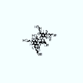 O=C(NCCO)c1c(I)c(C(=O)NCC(O)CO)c(I)c(N(CC(O)CO)C(=O)C(O)C(=O)N(CC(O)CO)c2c(I)c(C(=O)NCCO)c(I)c(C(=O)NCC(O)CO)c2I)c1I